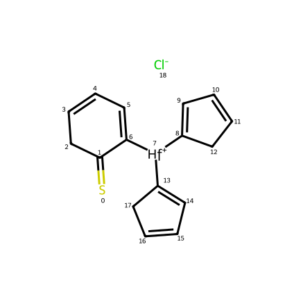 S=C1CC=CC=[C]1[Hf+]([C]1=CC=CC1)[C]1=CC=CC1.[Cl-]